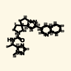 CC(NC(=O)N1CCC2(CCn3nc(-c4cnc5ccccc5c4)cc32)C1)c1ncnn1C